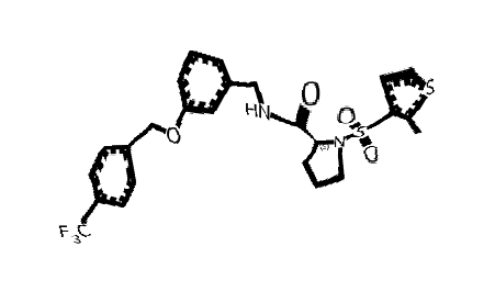 Cc1sccc1S(=O)(=O)N1CCC[C@H]1C(=O)NCc1cccc(OCc2ccc(C(F)(F)F)cc2)c1